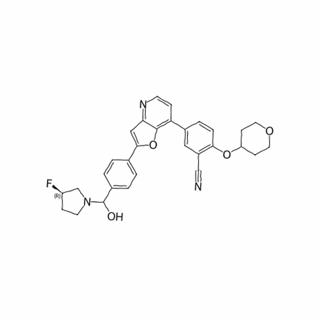 N#Cc1cc(-c2ccnc3cc(-c4ccc(C(O)N5CC[C@@H](F)C5)cc4)oc23)ccc1OC1CCOCC1